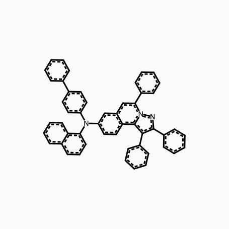 c1ccc(-c2ccc(N(c3ccc4c(c3)cc(-c3ccccc3)n3nc(-c5ccccc5)c(-c5ccccc5)c43)c3cccc4ccccc34)cc2)cc1